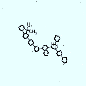 CC1(C)c2ccccc2-c2ccc(-c3ccc(-c4cccc(-c5ccc(-c6cc(-c7ccc(-c8ccccc8)cc7)nc(-c7ccccc7)n6)c6ccccc56)c4)cc3)cc21